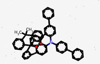 CC1(C)c2ccccc2C2(c3ccccc3-c3ccc(N(c4ccc(-c5ccccc5)cc4)c4ccc(-c5ccccc5)cc4-c4ccccc4)cc32)c2ccccc21